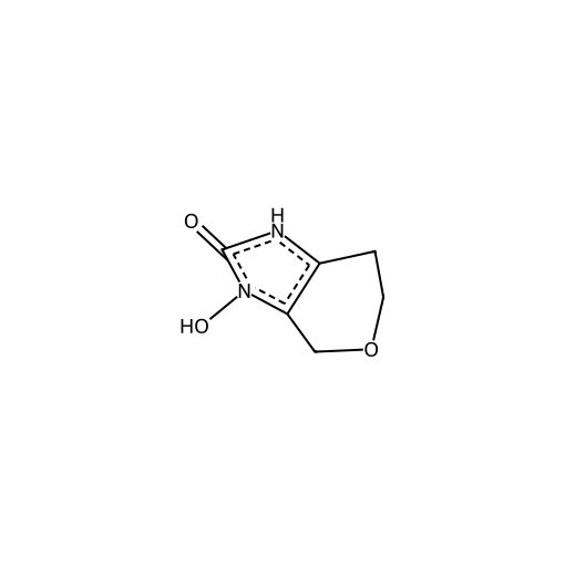 O=c1[nH]c2c(n1O)COCC2